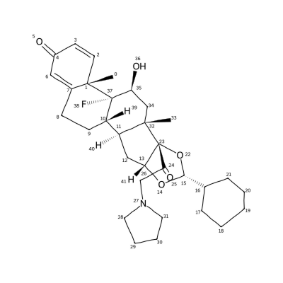 C[C@]12C=CC(=O)C=C1CC[C@H]1[C@@H]3C[C@H]4O[C@@H](C5CCCCC5)O[C@@]4(C(=O)CN4CCCC4)[C@@]3(C)C[C@H](O)[C@@]12F